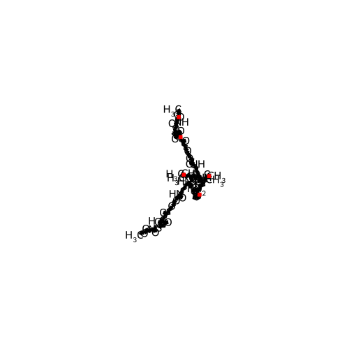 CCOC(=O)CNC(=O)CSC1CC(=O)N(CCC(=O)CCCOCCOCC(=O)NCCCCC(NC(=O)C(CCC(C)(C)C)CC(=O)C(CCCCNC(=O)COCCOCCCC(=O)CCN2C(=O)CC(SCC(=O)NCC(=O)OCC)C2=O)NC(=O)C(CCC(C)(C)C)CC(=O)Cc2cccc3ccccc23)C(N)=O)C1=O